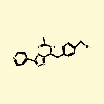 CC(=O)NC(Cc1ccc(CN)cc1)c1nnc(-c2ccncc2)s1